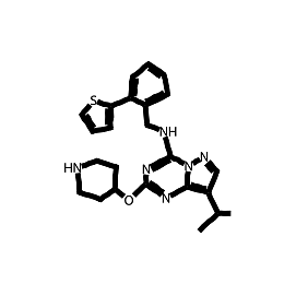 CC(C)c1cnn2c(NCc3ccccc3-c3cccs3)nc(OC3CCNCC3)nc12